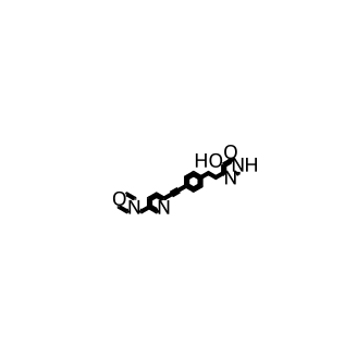 O=c1[nH]cnc(CCc2ccc(C#Cc3ccc(CN4CCOCC4)cn3)cc2)c1O